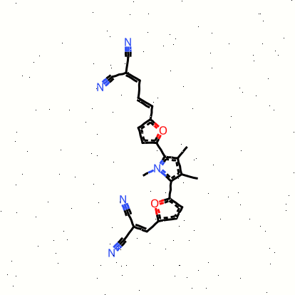 Cc1c(C)c(-c2ccc(/C=C/C=C(C#N)C#N)o2)n(C)c1-c1ccc(C=C(C#N)C#N)o1